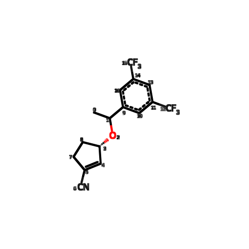 CC(O[C@@H]1C=C(C#N)CC1)c1cc(C(F)(F)F)cc(C(F)(F)F)c1